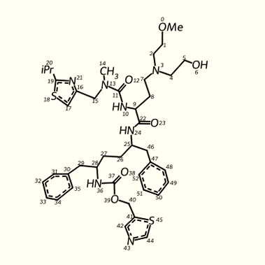 COCCN(CCO)CCC(NC(=O)N(C)Cc1csc(C(C)C)n1)C(=O)NC(CCC(Cc1ccccc1)NC(=O)OCc1cncs1)Cc1ccccc1